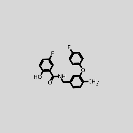 [CH2]c1ccc(CNC(=O)c2cc(F)ccc2O)cc1Oc1ccc(F)cc1